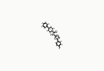 O=C(Nc1nnc(-c2ccc(F)cc2)o1)N1CCC(c2ccccc2)CC1